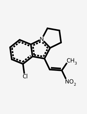 CC(=Cc1c2n(c3cccc(Cl)c13)CCC2)[N+](=O)[O-]